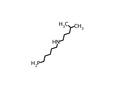 CC(C)CCCNCCCCCP